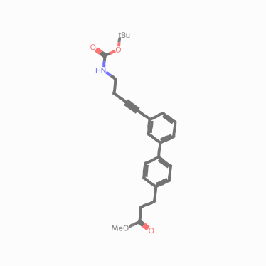 COC(=O)CCc1ccc(-c2cccc(C#CCCNC(=O)OC(C)(C)C)c2)cc1